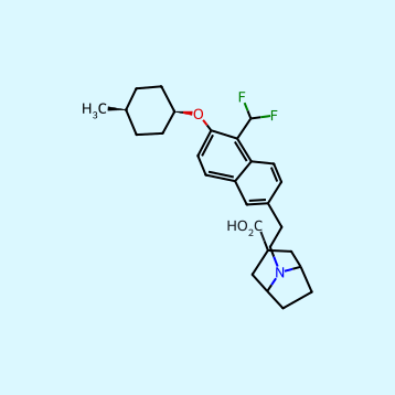 C[C@H]1CC[C@@H](Oc2ccc3cc(CCN4C5CCC4CC(C(=O)O)C5)ccc3c2C(F)F)CC1